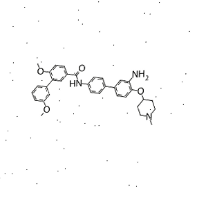 COc1cccc(-c2cc(C(=O)Nc3ccc(-c4ccc(OC5CCN(C)CC5)c(N)c4)cc3)ccc2OC)c1